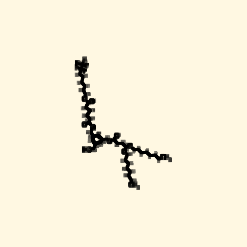 CCCCCCCCOC(CCC(=O)OCc1cc(CO)cc(COC(=O)CCCCC(=O)OCCCCCCC(F)(F)C(F)(F)F)c1)OCCCCCCCC